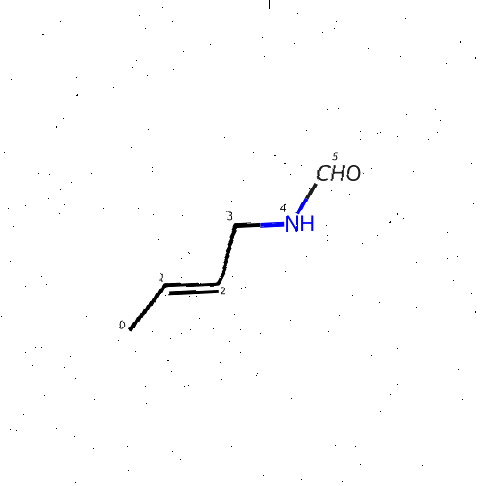 CC=CCN[C]=O